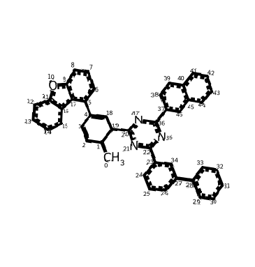 CC1C=CC(c2cccc3oc4ccccc4c23)=CC1c1nc(-c2cccc(-c3ccccc3)c2)nc(-c2ccc3ccccc3c2)n1